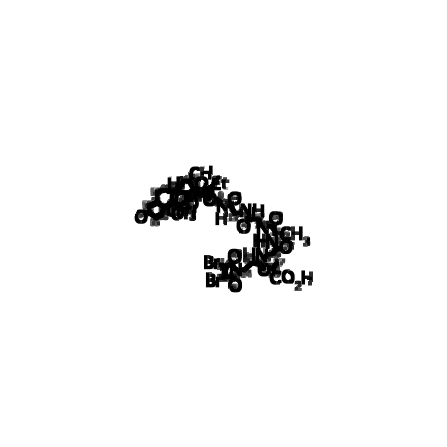 CCC(=O)O[C@]1(C(=O)COCNC(=O)CNC(=O)CNC(=O)[C@H](C)NC(=O)[C@H](CCC(=O)O)NC(=O)CCN2C(=O)C(Br)=C(Br)C2=O)[C@@H](C)CC2[C@@H]3CCC4=CC(=O)C=C[C@]4(C)[C@@]3(Cl)[C@@H](O)C[C@@]21C